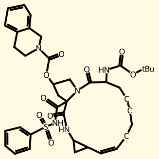 CC(C)(C)OC(=O)NC1CCCCCC=CC2CC2NC(=O)C2(C(=O)NS(=O)(=O)c3ccccc3)CC(OC(=O)N3CCc4ccccc4C3)CN2C1=O